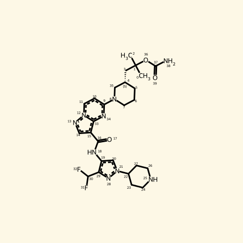 CC(C)(C[C@@H]1CCCN(c2ccn3ncc(C(=O)Nc4cn(C5CCNCC5)nc4C(F)F)c3n2)C1)OC(N)=O